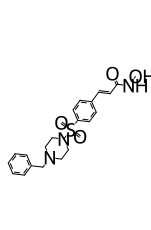 O=C(/C=C/c1ccc(S(=O)(=O)N2CCN(Cc3ccccc3)CC2)cc1)NO